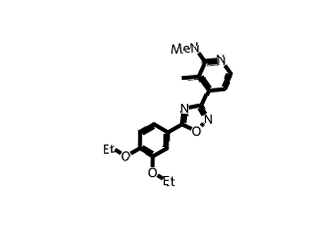 CCOc1ccc(-c2nc(-c3ccnc(NC)c3C)no2)cc1OCC